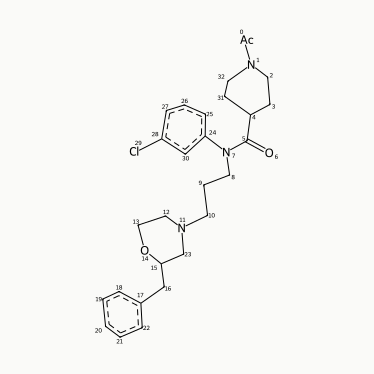 CC(=O)N1CCC(C(=O)N(CCCN2CCOC(Cc3ccccc3)C2)c2cccc(Cl)c2)CC1